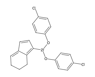 Clc1ccc([O][Zr]([O]c2ccc(Cl)cc2)[C]2=C3CCCC=C3C=C2)cc1